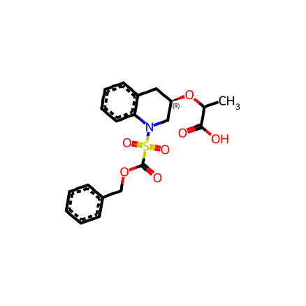 CC(O[C@@H]1Cc2ccccc2N(S(=O)(=O)C(=O)OCc2ccccc2)C1)C(=O)O